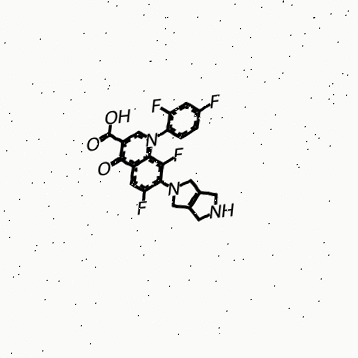 O=C(O)c1cn(-c2ccc(F)cc2F)c2c(F)c(N3CC4=C(CNC4)C3)c(F)cc2c1=O